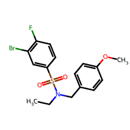 CCN(Cc1ccc(OC)cc1)S(=O)(=O)c1ccc(F)c(Br)c1